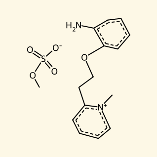 COS(=O)(=O)[O-].C[n+]1ccccc1CCOc1ccccc1N